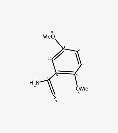 COc1ccc(OC)c(C(N)=S)c1